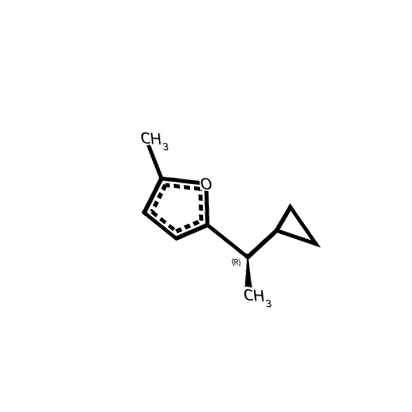 Cc1ccc([C@H](C)C2CC2)o1